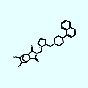 O=C1C2C3CC(C(O)C3O)C2C(=O)N1C[C@H]1CCCC1CN1CCC(c2cccc3ccccc23)CC1